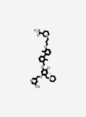 Cc1c(COc2cc(OCc3cncc(C#N)c3)c(CN3CCCC[C@H]3C)cc2Cl)cccc1-c1cccc(OCCCN2CCCC(C(N)=O)C2)c1C